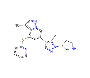 Cc1c(-c2cc(Sc3ccccn3)c3c(C#N)cnn3c2)cnn1C1CCNC1